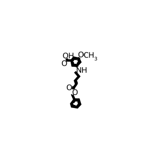 COc1cc(NCCC=CC(=O)OCc2ccccc2)cc(C(=O)O)c1